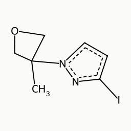 CC1(n2ccc(I)n2)COC1